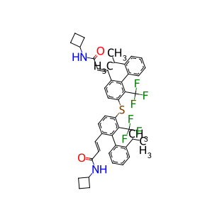 CC(C)c1ccccc1-c1c(/C=C/C(=O)NC2CCC2)ccc(Sc2ccc(/C=C/C(=O)NC3CCC3)c(-c3ccccc3C(C)C)c2C(F)(F)F)c1C(F)(F)F